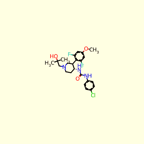 COc1cc(F)c(C2CN(CC(C)(C)O)CC[C@H]2NC(=O)Nc2ccc(Cl)cc2)c(F)c1